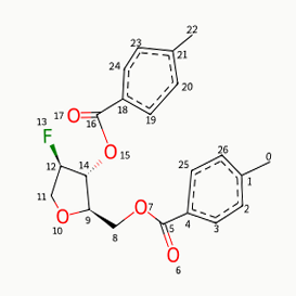 Cc1ccc(C(=O)OC[C@H]2OC[C@@H](F)[C@@H]2OC(=O)c2ccc(C)cc2)cc1